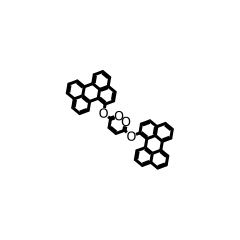 O=C(/C=C\C(=O)Oc1ccc2cccc3c4cccc5cccc(c1c23)c54)Oc1ccc2cccc3c4cccc5cccc(c1c23)c54